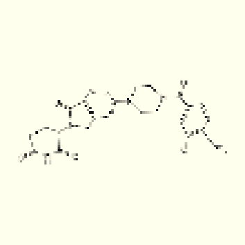 COc1cc(C(=O)N2CCN(c3ccc4c(c3)CN(C3CCC(=O)NC3=O)C4=O)CC2)ccc1N